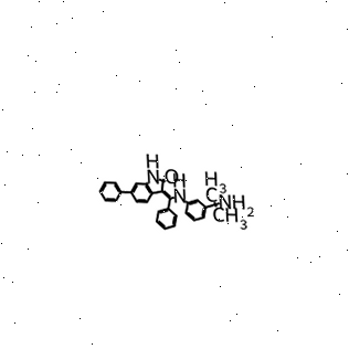 CC(C)(N)c1cccc(N/C(=C2\C(=O)Nc3cc(-c4ccccc4)ccc32)c2ccccc2)c1